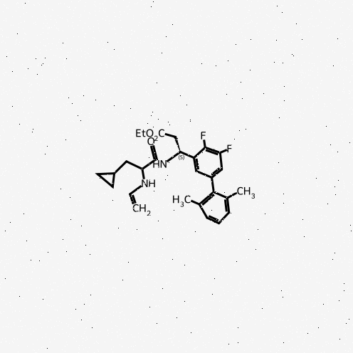 C=CNC(CC1CC1)C(=O)N[C@@H](CC(=O)OCC)c1cc(-c2c(C)cccc2C)cc(F)c1F